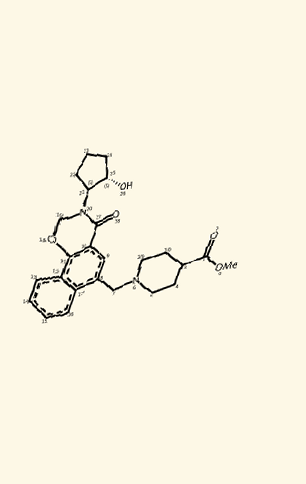 COC(=O)C1CCN(Cc2cc3c(c4ccccc24)OCN([C@H]2CCC[C@@H]2O)C3=O)CC1